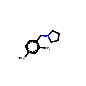 O=C(O)c1ccc(CN2CCCC2)c(C(F)(F)F)c1